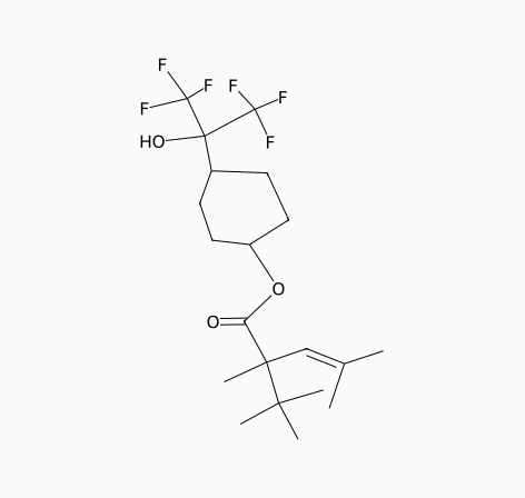 CC(C)=CC(C)(C(=O)OC1CCC(C(O)(C(F)(F)F)C(F)(F)F)CC1)C(C)(C)C